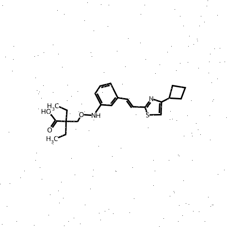 CCC(CC)(CONc1cccc(C=Cc2nc(C3CCC3)cs2)c1)C(=O)O